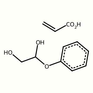 C=CC(=O)O.OCC(O)Oc1ccccc1